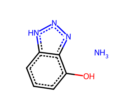 N.Oc1cccc2[nH]nnc12